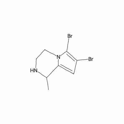 CC1NCCn2c1cc(Br)c2Br